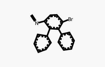 C=Nc1ccc(Br)c(-c2ccccc2)c1-c1ccccc1